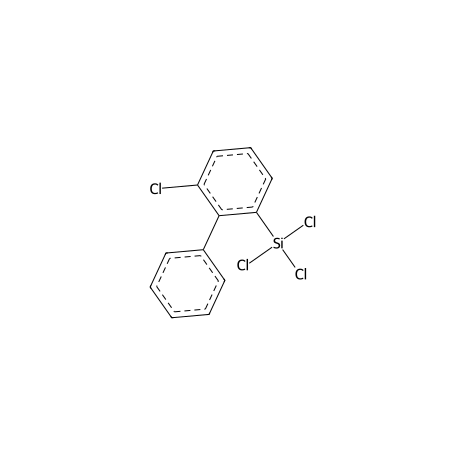 Clc1cccc([Si](Cl)(Cl)Cl)c1-c1ccccc1